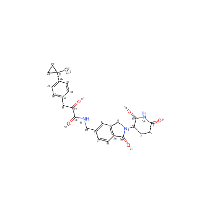 O=C1CCC(N2Cc3cc(CNC(=O)C(=O)Cc4ccc(C5(C(F)(F)F)CC5)cc4)ccc3C2=O)C(=O)N1